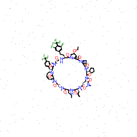 C=CC[C@H]1C(=O)N[C@@H]([C@@H](C)CC)C(=O)N(C)CC(=O)N(C)[C@H]2C/C=C\CCN(C2=O)[C@@H](Cc2ccc(C(F)(F)F)cc2)C(=O)N(C)CC(=O)N[C@@H](CCc2cc(F)c(C(F)(F)F)c(F)c2)C(=O)N2C[C@H](OCC)C[C@H]2C(=O)NC2(CCC2)C(=O)N(C)[C@@H](C2CCCC2)C(=O)N(C)[C@H](C(=O)N(C)C)CC(=O)N1C